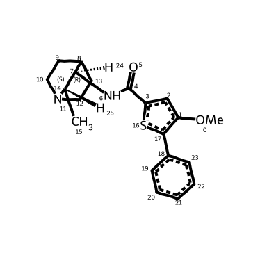 COc1cc(C(=O)N[C@@H]2C3CCN(CC3)[C@H]2C)sc1-c1ccccc1